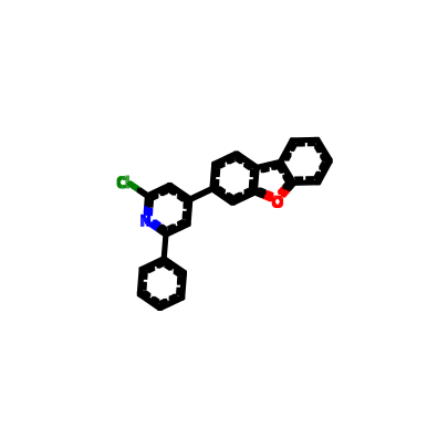 Clc1cc(-c2ccc3c(c2)oc2ccccc23)cc(-c2ccccc2)n1